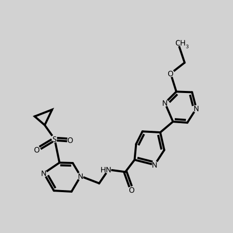 CCOc1cncc(-c2ccc(C(=O)NCN3C=C(S(=O)(=O)C4CC4)N=CC3)nc2)n1